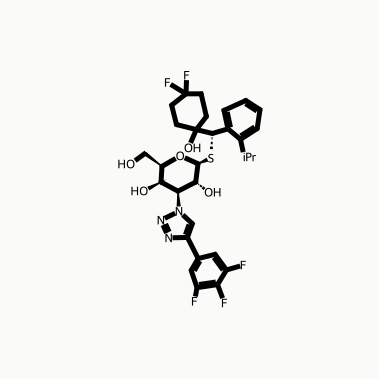 CC(C)c1ccccc1[C@H](S[C@@H]1O[C@H](CO)[C@H](O)[C@H](n2cc(-c3cc(F)c(F)c(F)c3)nn2)[C@H]1O)C1(O)CCC(F)(F)CC1